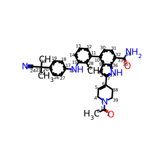 CC(=O)N1CC=C(c2cc3c(-c4cccc(Nc5ccc(C(C)(C)C#N)cc5)c4C)ccc(C(N)=O)c3[nH]2)CC1